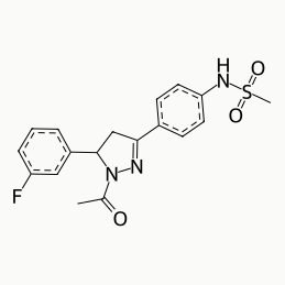 CC(=O)N1N=C(c2ccc(NS(C)(=O)=O)cc2)CC1c1cccc(F)c1